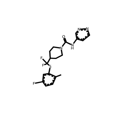 Cc1ccc(F)cc1SC(F)(F)C1CCN(C(=O)Nc2ccnnc2)CC1